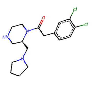 O=C(Cc1ccc(Cl)c(Cl)c1)N1CCNC[C@@H]1CN1CCCC1